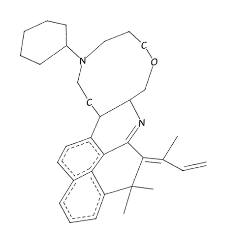 C=C/C(C)=C1/C2=NC3COCCCN(C4CCCCC4)CCC3c3ccc4cccc(c4c32)C1(C)C